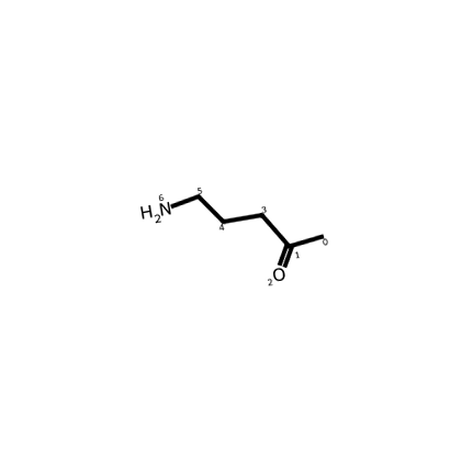 CC(=O)CCCN